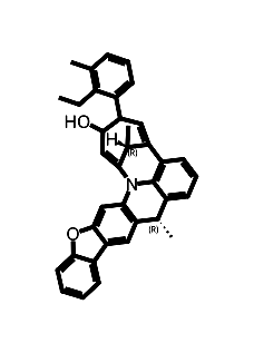 CCc1c(C)cccc1C1C=C2c3cccc4c3N(C(=CC1O)[C@@H]2C)c1cc2oc3ccccc3c2cc1[C@H]4C